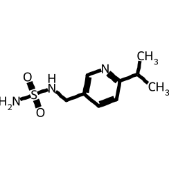 CC(C)c1ccc(CNS(N)(=O)=O)cn1